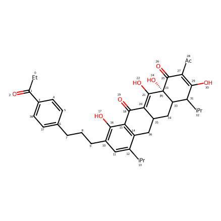 CCC(=O)c1ccc(CCCc2cc(C(C)C)c3c(c2O)C(=O)C2=C(O)[C@@]4(O)C(=O)C(C(C)=O)=C(O)C(C(C)C)C4CC2C3)cc1